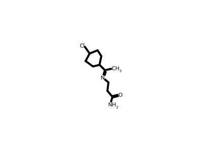 C/C(=N\CCC(N)=O)C1CCC(Cl)CC1